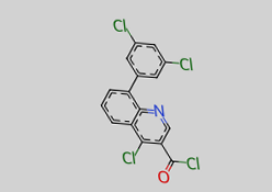 O=C(Cl)c1cnc2c(-c3cc(Cl)cc(Cl)c3)cccc2c1Cl